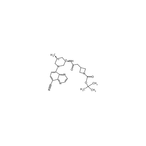 C[C@H]1C[C@@H](NC(=O)CC2CN(C(=O)OC(C)(C)C)C2)CN(c2ccc(C#N)c3nccnc23)C1